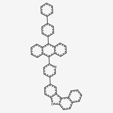 c1ccc(-c2ccc(-c3c4ccccc4c(-c4ccc(-c5ccc6oc7ccc8ccccc8c7c6c5)cn4)c4ccccc34)cc2)cc1